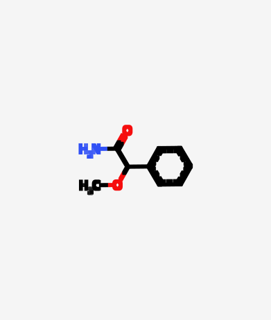 COC(C(N)=O)c1ccccc1